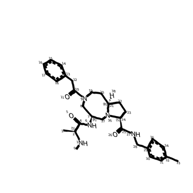 CN[C@@H](C)C(=O)N[C@H]1CN(C(=O)Cc2ccccc2)CC[C@H]2CC[C@@H](C(=O)NCc3ccc(C)cc3)N2C1